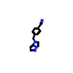 N#Cc1ccc(Cn2ccn3nccc23)cc1